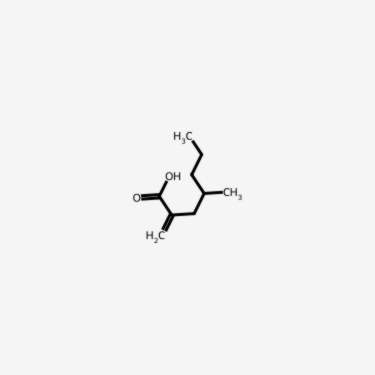 C=C(CC(C)CCC)C(=O)O